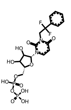 O=c1ccn([C@@H]2O[C@H](COP(=O)(O)OP(=O)(O)O)C(O)C2O)c(=O)n1CC(F)(F)c1ccccc1